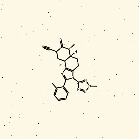 Cc1ccccc1-c1nc2c(n1-c1nnn(C)n1)CC[C@H]1[C@H](C)C(=O)C(C#N)C[C@]21C